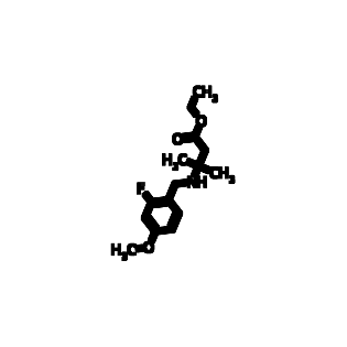 CCOC(=O)CC(C)(C)NCc1ccc(OC)cc1F